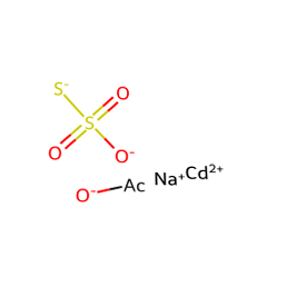 CC(=O)[O-].O=S(=O)([O-])[S-].[Cd+2].[Na+]